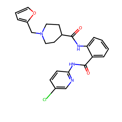 O=C(Nc1ccc(Cl)cn1)c1ccccc1NC(=O)C1CCN(Cc2ccco2)CC1